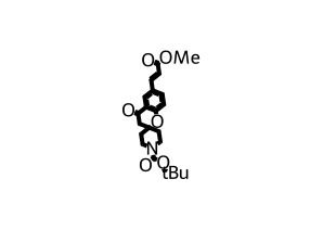 COC(=O)C=Cc1ccc2c(c1)C(=O)CC1(CCN(C(=O)OC(C)(C)C)CC1)O2